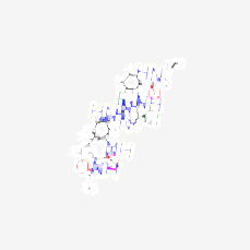 C#CCNC(=O)c1cccc(F)c1Nc1nc(Nc2ccc3c(c2)NC(=O)C(NC(C)=O)CC3(C)C)ncc1Cl